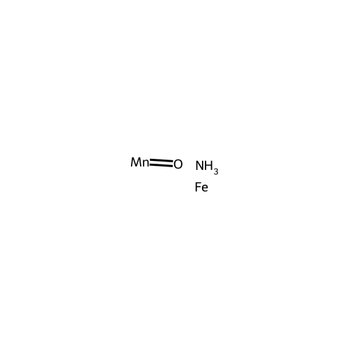 N.[Fe].[O]=[Mn]